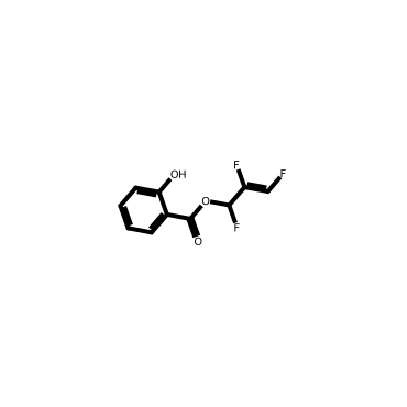 O=C(OC(F)C(F)=CF)c1ccccc1O